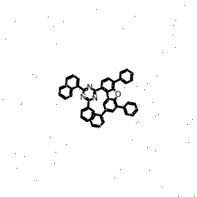 c1ccc(-c2cc(-c3ccccc3)c3oc4c(-c5ccccc5)ccc(-c5nc(-c6ccccc6)nc(-c6cccc7ccccc67)n5)c4c3c2)cc1